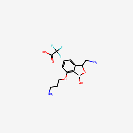 NCCCOc1cccc2c1B(O)OC2CN.O=C(O)C(F)(F)F